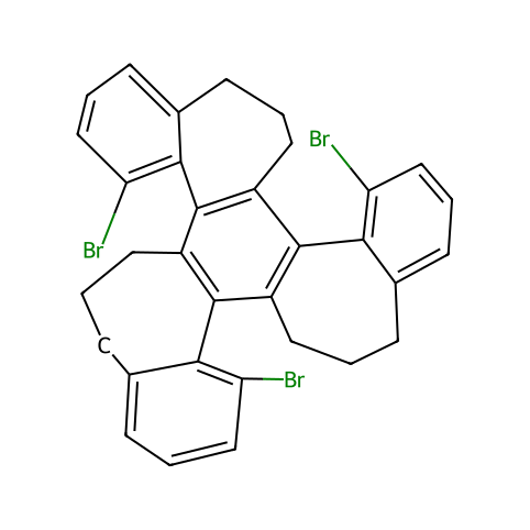 Brc1cccc2c1-c1c(c3c(c4c1CCCc1cccc(Br)c1-4)CCCc1cccc(Br)c1-3)CCC2